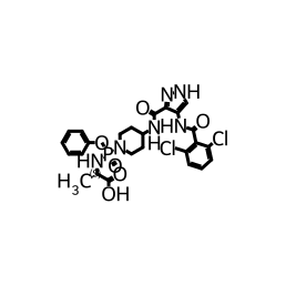 C[C@H](NP(=O)(Oc1ccccc1)N1CCC(NC(=O)c2n[nH]cc2NC(=O)c2c(Cl)cccc2Cl)CC1)C(=O)O